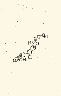 CCOC1CC2(C1)C[C@@H]2C(=O)Nc1cc2cc(C3CCN([C@]4(C)COC[C@@H]4O)CC3)c(Cl)cc2cn1